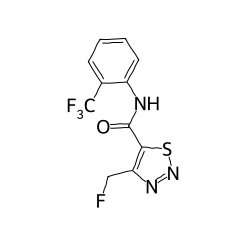 O=C(Nc1ccccc1C(F)(F)F)c1snnc1CF